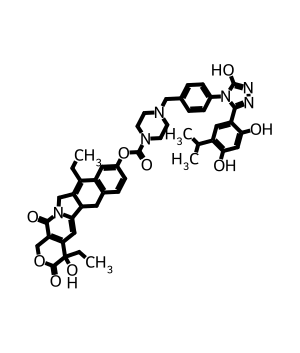 CCC1=C2Cn3c(cc4c(c3=O)COC(=O)C4(O)CC)C2Cc2ccc(OC(=O)N3CCN(Cc4ccc(-n5c(O)nnc5-c5cc(C(C)C)c(O)cc5O)cc4)CC3)cc21